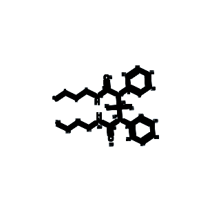 CCCCNC(=O)N(c1ccccc1)[Si](C)(C)N(C(=O)NCCCC)c1ccccc1